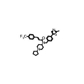 Cc1ncc(-c2ccc(CN(C(=O)/C=C/c3ccc(C(F)(F)F)cc3)C3CCN(C4CCCC4)CC3)cc2)s1